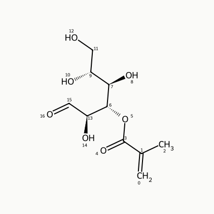 C=C(C)C(=O)O[C@@H]([C@H](O)[C@H](O)CO)[C@@H](O)C=O